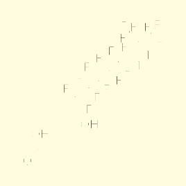 CC(=CCC(O)CC(F)(F)C(F)(F)C(F)(F)C(F)(F)C(F)(F)C(F)(F)C(F)(C(F)(F)F)C(F)(F)F)C(=O)O